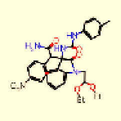 CCOC(CN1C(=O)C(NC(=O)Nc2ccc(C)cc2)(C(C(N)=O)c2ccc([N+](=O)[O-])cc2)c2ccccc21)OCC